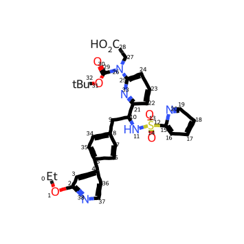 CCOc1cc(-c2ccc(CC(NS(=O)(=O)c3ccccn3)c3cccc(N(CC(=O)O)C(=O)OC(C)(C)C)n3)cc2)ccn1